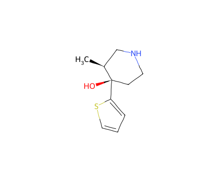 C[C@H]1CNCC[C@]1(O)c1cccs1